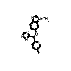 Cn1cnc2ccc(OC(c3ccc(F)cn3)c3nnco3)cc21